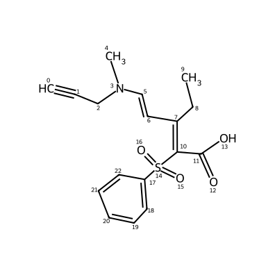 C#CCN(C)C=CC(CC)=C(C(=O)O)S(=O)(=O)c1ccccc1